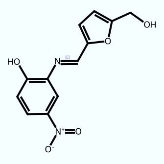 O=[N+]([O-])c1ccc(O)c(/N=C/c2ccc(CO)o2)c1